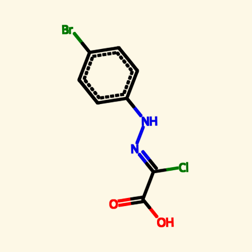 O=C(O)C(Cl)=NNc1ccc(Br)cc1